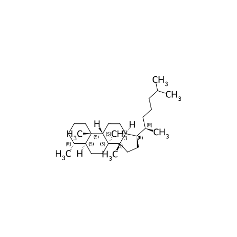 CC(C)CCC[C@@H](C)[C@H]1CC[C@@]2(C)[C@H]1CC[C@H]1[C@@]3(C)CCC[C@@H](C)[C@@H]3CC[C@@]12C